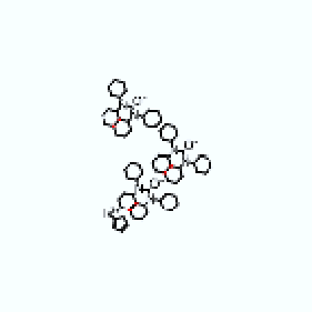 [O-]C(N(C1CCCCC1)C1CCCCC1)N(C1CCCCC1)C1CCCCC1.[O-]C(N(C1CCCCC1)C1CCCCC1)N(C1CCCCC1)C1CCCCC1.[O-]C(N(C1CCCCC1)C1CCCCC1)N(C1CCCCC1)C1CCCCC1.[Ti+3][C]1=CC=CC1